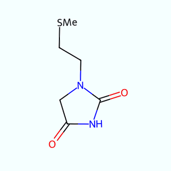 CSCCN1CC(=O)NC1=O